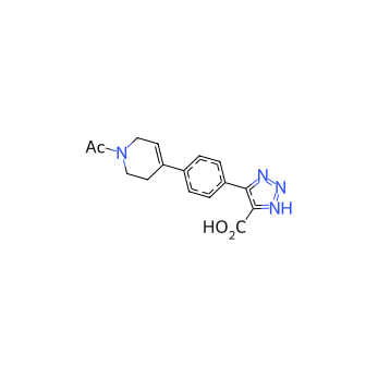 CC(=O)N1CC=C(c2ccc(-c3nn[nH]c3C(=O)O)cc2)CC1